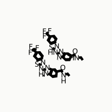 CCNC(=O)c1ccc2c(c1)nc(Nc1nc3ccc(C(F)(F)F)cc3s1)n2C.CCNC(=O)c1ccc2c(c1)nc(Nc1nc3ccc(C(F)(F)F)cc3s1)n2C